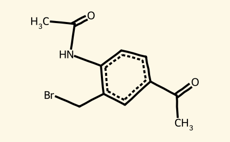 CC(=O)Nc1ccc(C(C)=O)cc1CBr